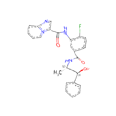 C[C@H](NC(=O)c1ccc(F)c(NC(=O)c2cnc3ccccn23)c1)[C@@H](O)c1ccccc1